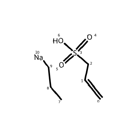 C=CCS(=O)(=O)O.CC[CH2][Na]